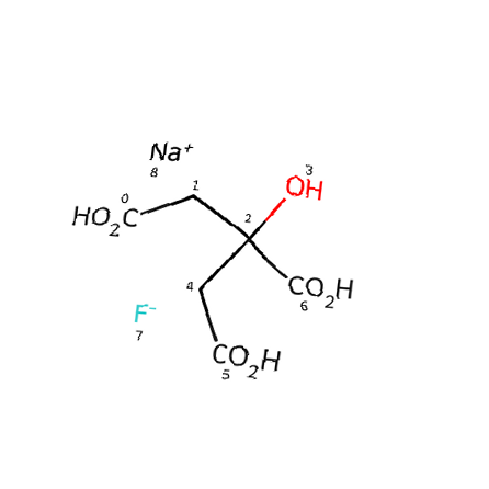 O=C(O)CC(O)(CC(=O)O)C(=O)O.[F-].[Na+]